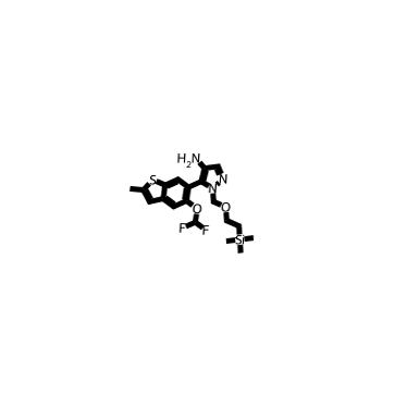 Cc1cc2cc(OC(F)F)c(-c3c(N)cnn3COCC[Si](C)(C)C)cc2s1